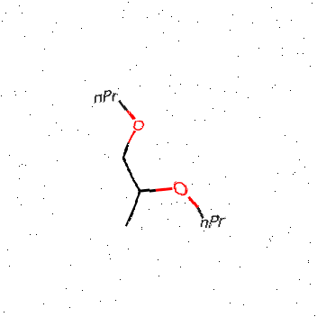 CCCOCC(C)OCCC